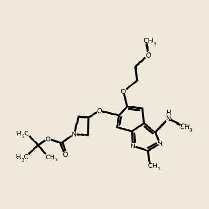 CNc1nc(C)nc2cc(OC3CN(C(=O)OC(C)(C)C)C3)c(OCCOC)cc12